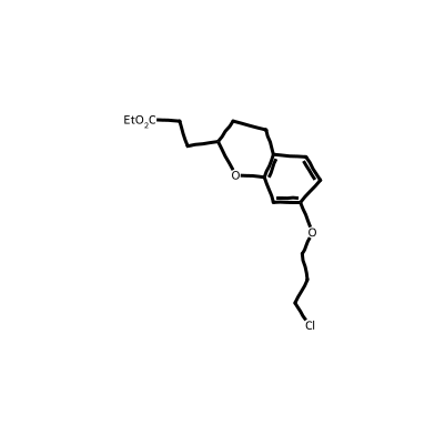 CCOC(=O)CCC1CCc2ccc(OCCCCl)cc2O1